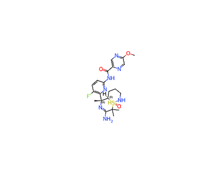 COc1cnc(C(=O)Nc2ccc(F)c([C@@]3(C)N=C(N)C(C)(C)[SH]4(=O)NCCC[C@H]34)n2)cn1